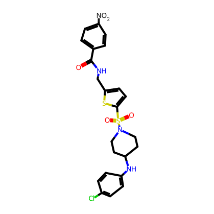 O=C(NCc1ccc(S(=O)(=O)N2CCC(Nc3ccc(Cl)cc3)CC2)s1)c1ccc([N+](=O)[O-])cc1